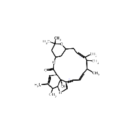 CC1=CC2C(=O)OC3CC(C/C=C(\C)C(C)C(C)/C=C/C=C4\COC(C1C)C42O)OC(C)(C)C3